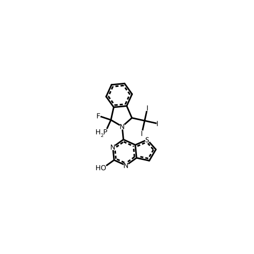 Oc1nc(N2C(C(I)(I)I)c3ccccc3C2(F)P)c2sccc2n1